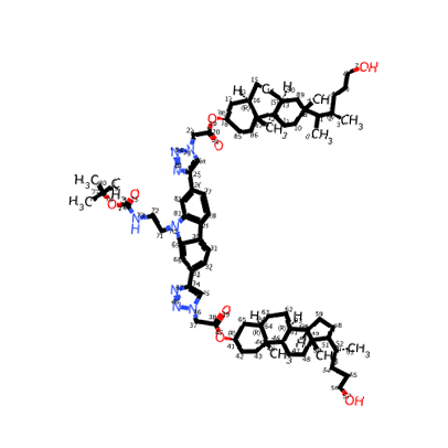 CC([C@H](C)CCCO)C1(C)CCC2[C@@H](CC[C@@H]3C[C@H](OC(=O)Cn4cc(-c5ccc6c7ccc(-c8cn(CC(=O)O[C@@H]9CCC%10(C)C%11CCC%12(C)C([C@H](C)CCCO)CC[C@H]%12[C@@H]%11CC[C@@H]%10C9)nn8)cc7n(CCNC(=O)OC(C)(C)C)c6c5)nn4)CCC23C)C1